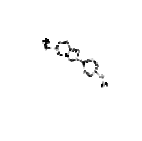 CCCCSc1ccc2nc(-c3ccc(OCCC)cc3)cn2c1